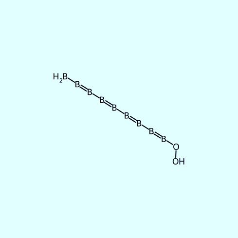 BB=BB=BB=BB=BOO